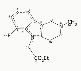 CCOC(=O)Cn1c2c(c3cccc(F)c31)CN(C)CC2